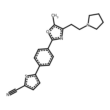 Cc1oc(-c2ccc(-c3ccc(C#N)s3)cc2)nc1CCN1CCCC1